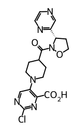 O=C(O)c1nc(Cl)ncc1N1CCC(C(=O)N2OCC[C@H]2c2cnccn2)CC1